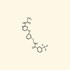 CC(=O)Nc1cc(Oc2cccc(CCNC(=O)c3cccc(C(F)(F)F)c3)c2)ccn1